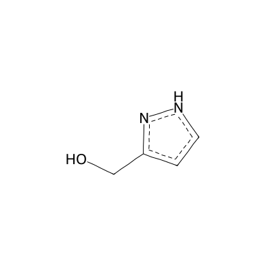 OCc1cc[nH]n1